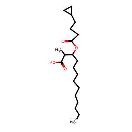 CCCCCCCCCCC(OC(=O)CCCC1CC1)C(C)C(=O)O